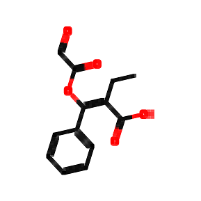 CCC(C(=O)O)=C(OC(=O)C=O)c1ccccc1